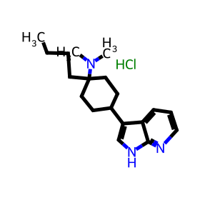 CCCCC1(N(C)C)CCC(c2c[nH]c3ncccc23)CC1.Cl